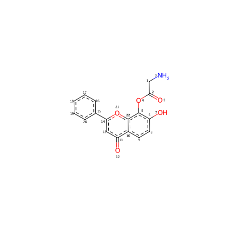 NCC(=O)Oc1c(O)ccc2c(=O)cc(-c3ccccc3)oc12